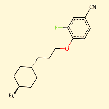 CC[C@H]1CC[C@H](CCCOc2ccc(C#N)cc2F)CC1